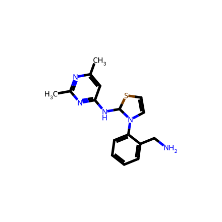 Cc1cc(NC2SC=CN2c2ccccc2CN)nc(C)n1